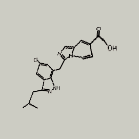 CC(C)Cc1n[nH]c2c(Cc3ncc4cc(C(=O)O)ccn34)cc(Cl)cc12